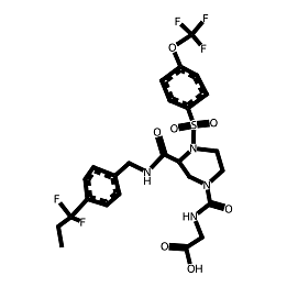 CCC(F)(F)c1ccc(CNC(=O)C2CN(C(=O)NCC(=O)O)CCN2S(=O)(=O)c2ccc(OC(F)(F)F)cc2)cc1